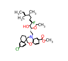 C/C=C(\C)[C@@H](C)C/C=C(\F)C(O)[C@@H](CCN1C[C@@]2(CCCc3cc(Cl)ccc32)COc2ccc(C(=O)OC)cc21)OCC